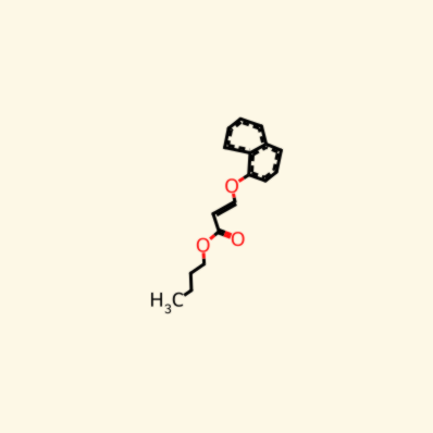 CCCCOC(=O)C=COc1cccc2ccccc12